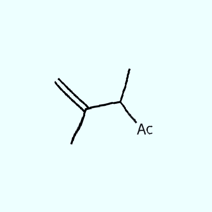 C=C(C)C(C)C(C)=O